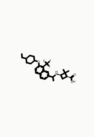 CCC1CCC(Oc2ccc3ccc(C(C)N[C@@H]4C[C@H](C(=O)O)C4(C)C)cc3c2C(F)(F)F)CC1